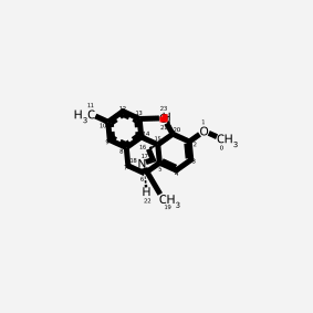 COC1=CC=C2[C@H]3Cc4cc(C)cc5c4[C@@]2(CCN3C)[C@H]1O5